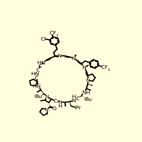 CC[C@H](C)[C@H]1C(C)NC2(CCCC2)CNCCNC=CC(CCc2ccc(C(F)(F)F)c(Cl)c2)=NC=CN(C)C=C(Cc2ccc(C(F)(F)F)cc2)N(C)C=C2CCCN2[C@@H](C)C(C)N[C@@H]([C@@H](C)CC)CN[C@@H](CC(C)C)C(C)NCC2[C@H](C(=O)N3CCCC3)C(C)N21